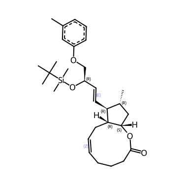 Cc1cccc(OC[C@@H](/C=C/[C@@H]2[C@H]3C/C=C\CCCC(=O)O[C@H]3C[C@H]2C)O[Si](C)(C)C(C)(C)C)c1